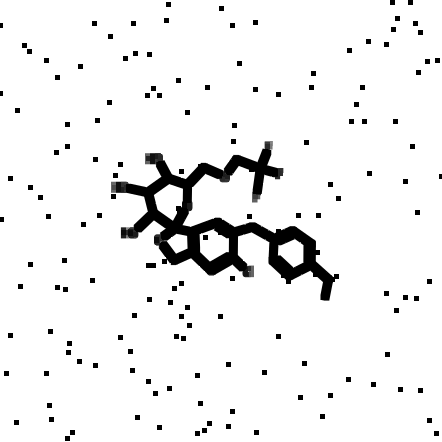 CCc1ccc(Cc2cc3c(cc2Cl)COC32OC(COCC(F)(F)F)C(O)C(O)C2O)cc1